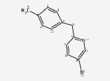 Cc1ccc(Cc2ccc(Br)cn2)cc1